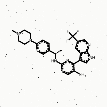 C[C@@H](Nc1ncc(N)c(-c2c[nH]c3ncc(C(F)(F)F)cc23)n1)c1ccc(N2CCN(C)CC2)nc1